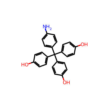 Nc1ccc(C(c2ccc(O)cc2)(c2ccc(O)cc2)c2ccc(O)cc2)cc1